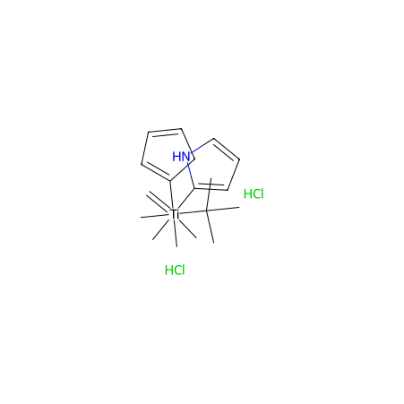 Cl.Cl.[CH2]=[Ti]([CH3])([CH3])([CH3])([CH3])([C]1=CC=CC1)([c]1ccc[nH]1)[C](C)(C)C